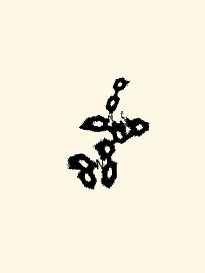 c1ccc(-c2ccc(-n3c4ccccc4c4c(-c5ccc6c(c5)c5ccccc5n6-c5cccc6ccccc56)cc5c6ccccc6sc5c43)cc2)cc1